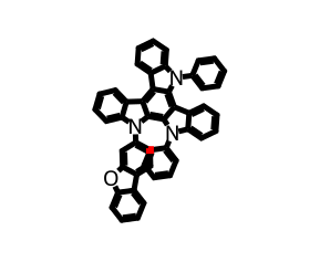 c1ccc(-n2c3ccccc3c3c4c5ccccc5n(-c5ccc6c(c5)oc5ccccc56)c4c4c(c5ccccc5n4-c4ccccc4)c32)cc1